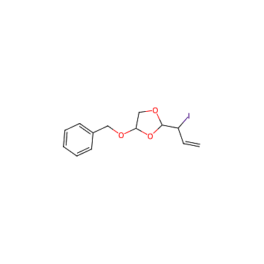 C=CC(I)C1OCC(OCc2ccccc2)O1